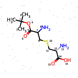 CC(C)(C)OC(=O)C(N)CSC[C@H](N)C(=O)O